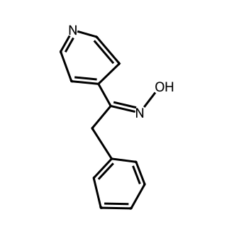 ON=C(Cc1ccccc1)c1ccncc1